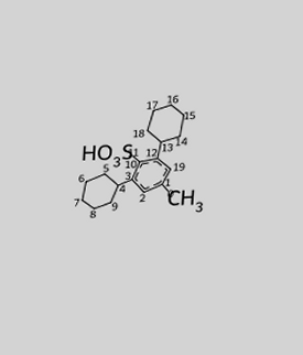 Cc1cc(C2CCCCC2)c(S(=O)(=O)O)c(C2CCCCC2)c1